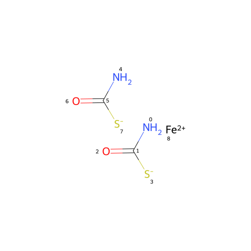 NC(=O)[S-].NC(=O)[S-].[Fe+2]